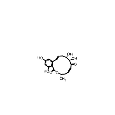 C[C@H]1C/C=C\C(=O)[C@H](O)[C@H](O)C/C=C/c2cc(O)cc(O)c2C(=O)O1